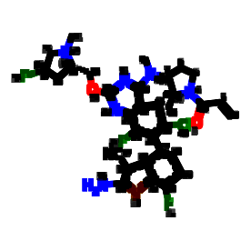 C=CC(=O)N1CC[C@@H](N(C)c2nc(OC[C@@H]3C[C@@H](F)CN3C)nc3c(F)c(-c4ccc(F)c5sc(N)c(C#N)c45)c(Cl)cc23)[C@@H]1C